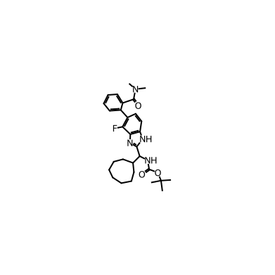 CN(C)C(=O)c1ccccc1-c1ccc2[nH]c(C(NC(=O)OC(C)(C)C)C3CCCCCCC3)nc2c1F